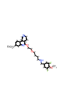 CCOC(=O)c1ccc2c(c1)nc(OCCOCCCCNCc1cc(F)c(OC(F)(F)F)c(F)c1)c1ccncc12